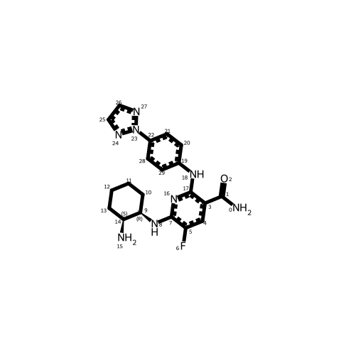 NC(=O)c1cc(F)c(N[C@@H]2CCCC[C@@H]2N)nc1Nc1ccc(-n2nccn2)cc1